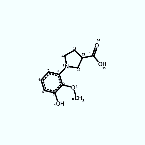 COc1c(O)cccc1N1CCC(C(=O)O)C1